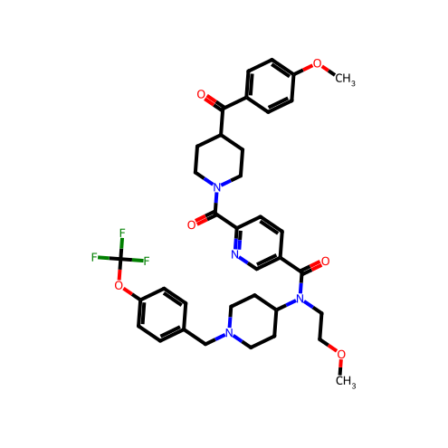 COCCN(C(=O)c1ccc(C(=O)N2CCC(C(=O)c3ccc(OC)cc3)CC2)nc1)C1CCN(Cc2ccc(OC(F)(F)F)cc2)CC1